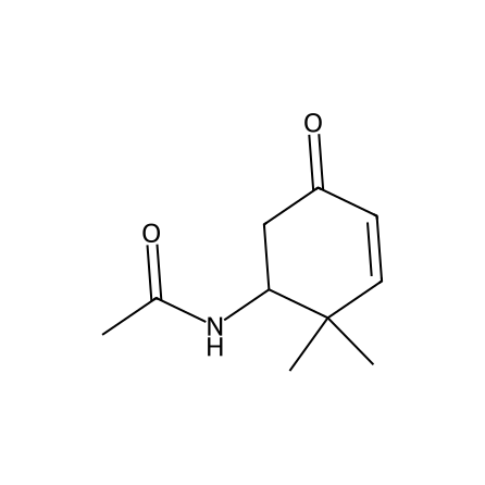 CC(=O)NC1CC(=O)C=CC1(C)C